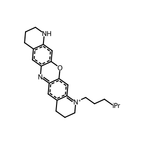 CC(C)CCC[N+]1=c2cc3c(cc2CCC1)=Nc1cc2c(cc1O3)NCCC2